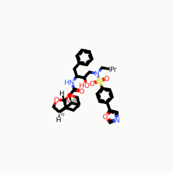 CC(C)CN(CC(O)C(Cc1ccccc1)NC(=O)C[C@H]1C2CO[C@H]3OC[C@@H]1C3C2)S(=O)(=O)c1ccc(-c2cnco2)cc1